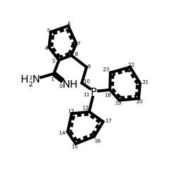 N=C(N)c1ccccc1CCP(c1ccccc1)c1ccccc1